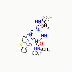 CC(NC(=O)CN1CCNCCN(CC(=O)NC(C)C(=O)O)CCN(Cc2ccc3sc4ccccc4c(=O)c3n2)CC1)C(=O)O